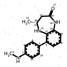 CNc1ccc(-c2cccc3c2N[C@H](C)CC(=O)N3)cc1